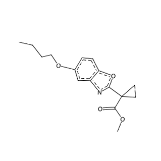 CCCCOc1ccc2oc(C3(C(=O)OC)CC3)nc2c1